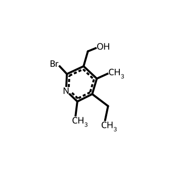 CCc1c(C)nc(Br)c(CO)c1C